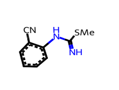 CSC(=N)Nc1ccccc1C#N